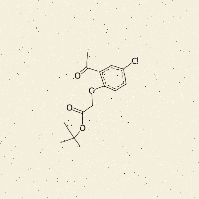 CC(=O)c1cc(Cl)ccc1OCC(=O)OC(C)(C)C